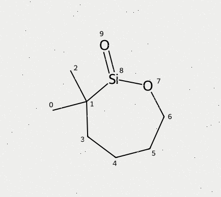 CC1(C)CCCCO[Si]1=O